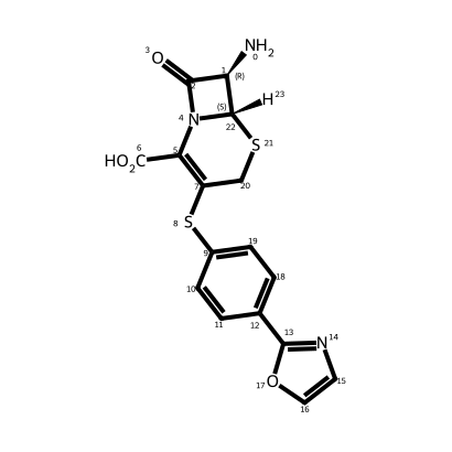 N[C@@H]1C(=O)N2C(C(=O)O)=C(Sc3ccc(-c4ncco4)cc3)CS[C@@H]12